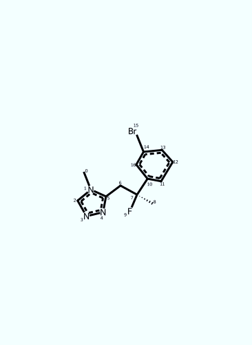 Cn1cnnc1C[C@](C)(F)c1cccc(Br)c1